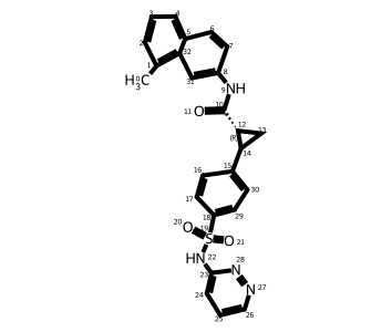 Cc1cccc2ccc(NC(=O)[C@@H]3CC3c3ccc(S(=O)(=O)Nc4cccnn4)cc3)cc12